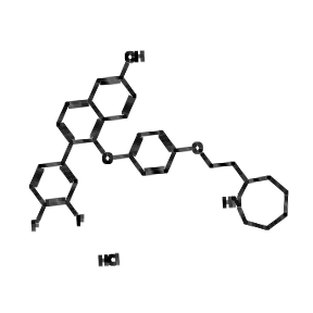 Cl.Oc1ccc2c(Oc3ccc(OCCC4CCCCCN4)cc3)c(-c3ccc(F)c(F)c3)ccc2c1